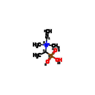 C#C[N+](C)(C)C(C)S(=O)(=O)O